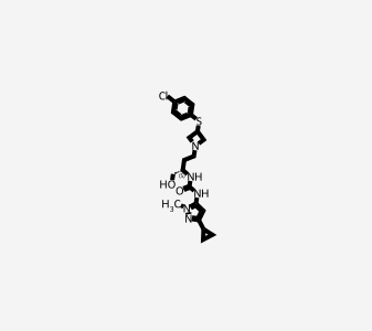 Cn1nc(C2CC2)cc1NC(=O)N[C@H](CO)CCN1CC(Sc2ccc(Cl)cc2)C1